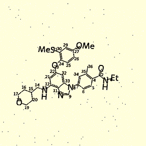 CCNC(=O)c1ccc(-n2cnc3c(NCC4CCOCC4)cc(Oc4ccc(OC)cc4SC)cc32)cc1C